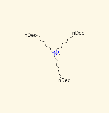 CCCCCCCCCCCCCCCC[N+](C)(CCCCCCCCCCCCCCCC)CCCCCCCCCCCCCCCC